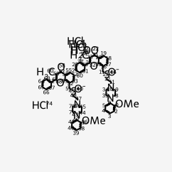 COc1ccccc1N1CCN(CC[S+]([O-])Cc2cccc3c(=O)c(C)c(-c4ccccc4)oc23)CC1.COc1ccccc1N1CCN(CC[S+]([O-])Cc2cccc3c(=O)c(C)c(-c4ccccc4)oc23)CC1.Cl.Cl.Cl.Cl.O